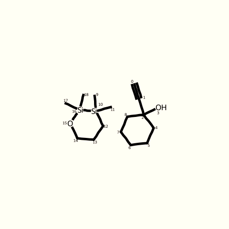 C#CC1(O)CCCCC1.C[Si]1(C)CCCO[Si]1(C)C